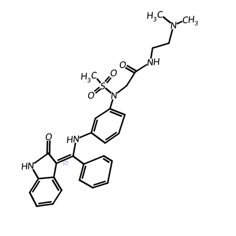 CN(C)CCNC(=O)CN(c1cccc(N/C(=C2\C(=O)Nc3ccccc32)c2ccccc2)c1)S(C)(=O)=O